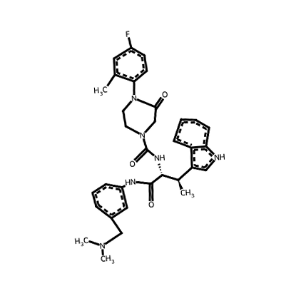 Cc1cc(F)ccc1N1CCN(C(=O)N[C@@H](C(=O)Nc2cccc(CN(C)C)c2)[C@H](C)c2c[nH]c3ccccc23)CC1=O